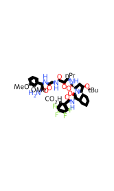 CCCC(NC(=O)[C@@H]1C[C@@H](OC(C)(C)C)CN1C(=O)[C@@H](NC(=O)c1c(F)c(F)c(F)c(F)c1C(=O)O)C1CCCCC1)C(=O)C(=O)NCC(=O)NC(C(N)=O)c1cccc(OC)c1OC